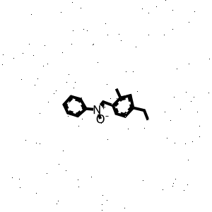 CCc1ccc(C=[N+]([O-])c2ccccc2)c(C)c1